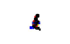 C=CC(=O)[C@]1(NC(=O)c2sc3nccc4c3c2NC(=O)N4c2ccc(Oc3ccccc3)cc2)CNC[C@@H]1O